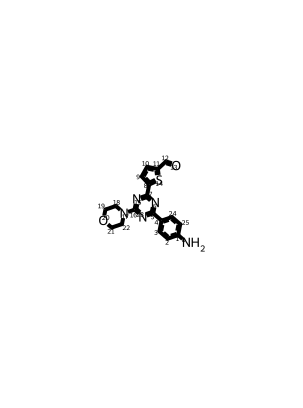 Nc1ccc(-c2nc(-c3ccc(C=O)s3)nc(N3CCOCC3)n2)cc1